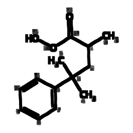 CC(CC(C)(C)c1ccccc1)C(=O)OO